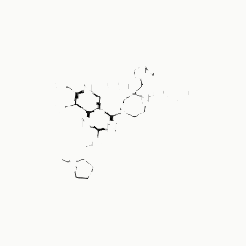 CN1CCC[C@H]1COc1nc(N2CCN(C(=O)O)[C@@](CC#N)(C(C)(C)C)C2)c2cnc(Cl)c(Cl)c2n1